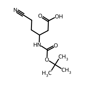 CC(C)(C)OC(=O)NC(CCC#N)CC(=O)O